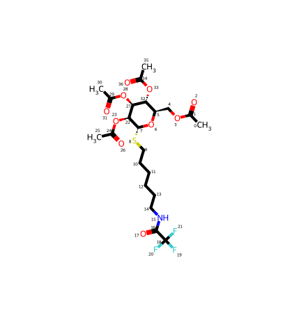 CC(=O)OC[C@H]1O[C@H](SCCCCCCNC(=O)C(F)(F)F)[C@@H](OC(C)=O)[C@@H](OC(C)=O)[C@@H]1OC(C)=O